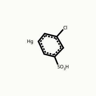 O=S(=O)(O)c1cccc(Cl)c1.[Hg]